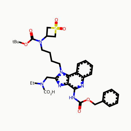 CCN(Cc1nc2c(NC(=O)OCc3ccccc3)nc3ccccc3c2n1CCCCN(C(=O)OC(C)(C)C)C1CS(=O)(=O)C1)C(=O)O